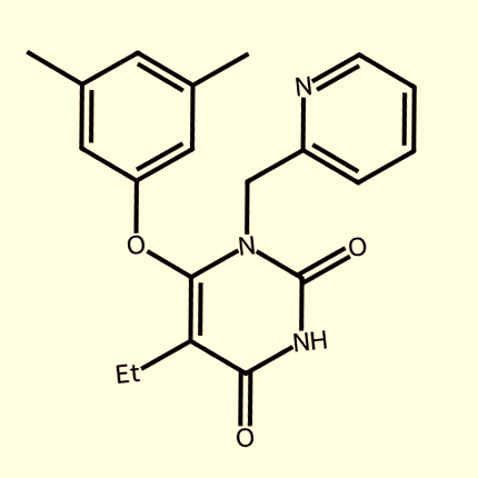 CCc1c(Oc2cc(C)cc(C)c2)n(Cc2ccccn2)c(=O)[nH]c1=O